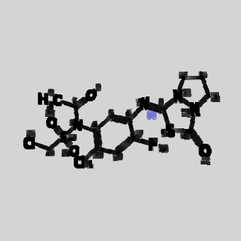 CC(=O)N(c1cc(/N=c2\sc(=O)n3n2CCC3)c(F)cc1Cl)S(=O)(=O)CCl